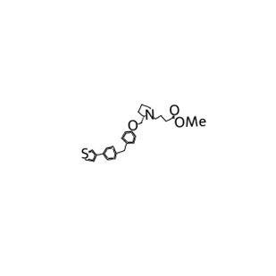 COC(=O)CCCN1CCC[C@@H]1COc1ccc(Cc2ccc(-c3ccsc3)cc2)cc1